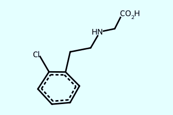 O=C(O)CNCCc1ccccc1Cl